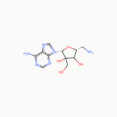 NC[C@H]1O[C@@H](n2cnc3c(N)ncnc32)C(O)(CO)C1O